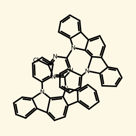 Clc1nc(-n2c3ccccc3c3ccc4c5ccccc5n(-c5ccccc5)c4c32)nc(-n2c3ccccc3c3ccc4c5ccccc5n(-c5ccccc5)c4c32)n1